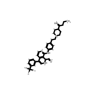 CCCC(=N)C1CCN(CCc2ccc(Nc3nccc4c3C(C=O)NC=C4c3cccc(C(F)(F)F)c3)cc2)CC1